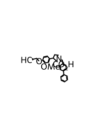 C#CCOc1ccc(C2CCN(Cc3ccc(-c4ccccc4)cc3)[C@@H]2C(=O)O)cc1OC